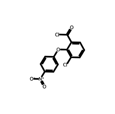 O=C(Cl)c1cccc(Cl)c1Oc1ccc([N+](=O)[O-])cc1